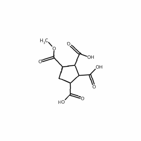 COC(=O)C1CC(C(=O)O)C(C(=O)O)C1C(=O)O